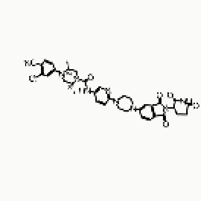 C[C@@H]1CN(c2ccc(C#N)c(Cl)c2)[C@@H](C)CN1C(=O)Nc1ccc(N2CCN(c3ccc4c(c3)C(=O)N(C3CCC(=O)NC3=O)C4=O)CC2)nc1